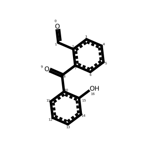 O=Cc1ccccc1C(=O)c1ccccc1O